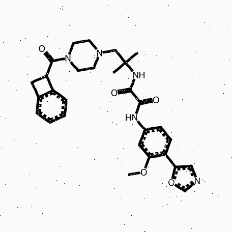 COc1cc(NC(=O)C(=O)NC(C)(C)CN2CCN(C(=O)C3Cc4ccccc43)CC2)ccc1-c1cnco1